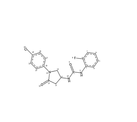 O=C(Nc1ccccc1F)NC1CC(=O)N(c2ccc(Cl)cc2)C1